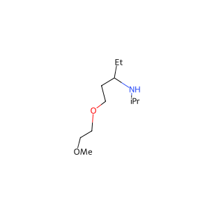 CCC(CCOCCOC)NC(C)C